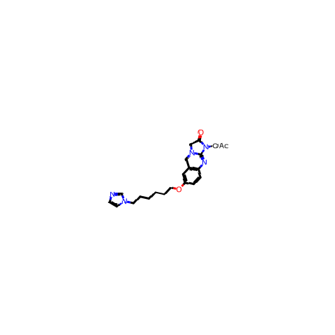 CC(=O)ON1C(=O)CN2Cc3cc(OCCCCCCn4ccnc4)ccc3N=C21